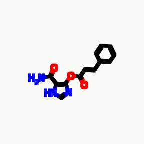 NC(=O)c1[nH]cnc1OC(=O)C=Cc1ccccc1